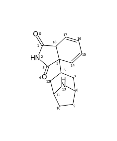 O=C1NC(=O)C2(C3CC4CCC(C3)N4)C=CC=CC12